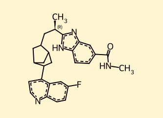 CNC(=O)c1ccc2[nH]c([C@H](C)CC3CC4CC3CC4c3ccnc4ccc(F)cc34)nc2c1